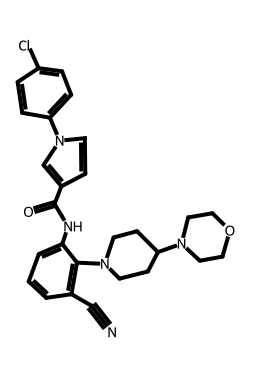 N#Cc1cccc(NC(=O)c2ccn(-c3ccc(Cl)cc3)c2)c1N1CCC(N2CCOCC2)CC1